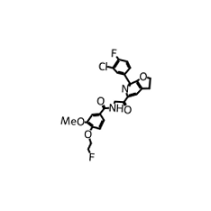 COc1cc(C(=O)NCC(=O)c2cc3c(c(-c4ccc(F)c(Cl)c4)n2)OCC3)ccc1OCCF